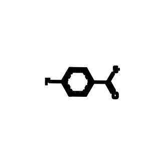 O=C([S])c1ccc(F)cc1